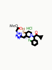 COC(=O)Cn1nnc(/C=C2/CN(C(C(=O)C3CC3)c3ccccc3F)CCC2S)n1.Cl